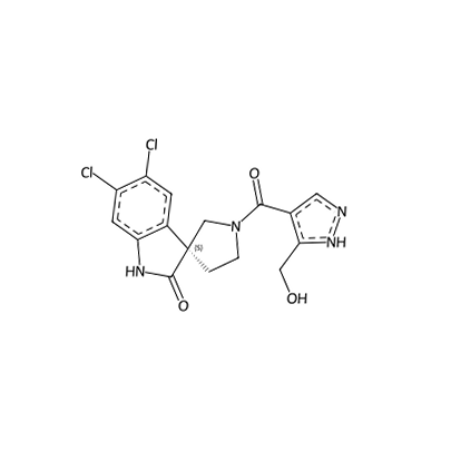 O=C(c1cn[nH]c1CO)N1CC[C@]2(C1)C(=O)Nc1cc(Cl)c(Cl)cc12